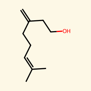 C=C(CCO)CCC=C(C)C